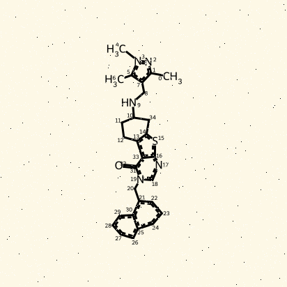 Cc1nn(C)c(C)c1CNC1CCc2c(sc3ncn(Cc4cccc5ccccc45)c(=O)c23)C1